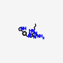 CCCCNc1nc(N)nc2cn(Cc3ccc(C4CCCN4)cc3)nc12